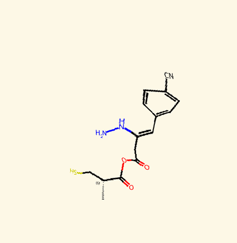 C[C@H](CS)C(=O)OC(=O)C(=Cc1ccc(C#N)cc1)NN